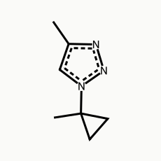 Cc1cn(C2(C)CC2)nn1